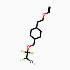 C=COCCC1CCC(COC(F)(F)C(F)C(F)(F)F)CC1